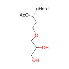 CCCCCCC[C@H](CCOCC(O)CO)OC(C)=O